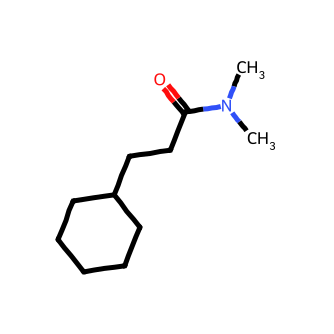 CN(C)C(=O)CCC1CCCCC1